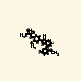 COc1ccc(F)cc1-c1ccnc2[nH]c(C3CCN(CC(=O)N(C)C)[C@@H](C)C3)cc12